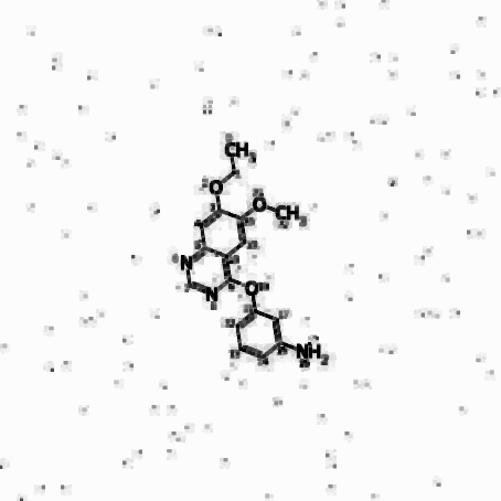 CCOc1cc2ncnc(Oc3cccc(N)c3)c2cc1OC